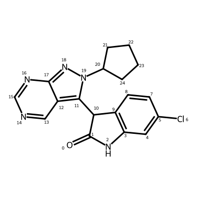 O=C1Nc2cc(Cl)ccc2C1c1c2cncnc2nn1C1CCCC1